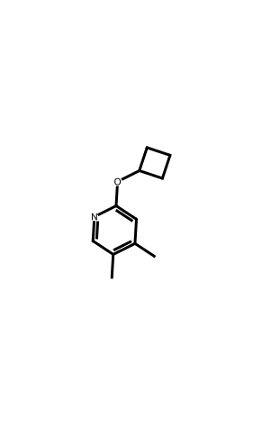 Cc1cnc(OC2CCC2)cc1C